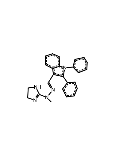 CN(N=Cc1c(-c2ccccc2)n(-c2ccccc2)c2ccccc12)C1=NCCN1